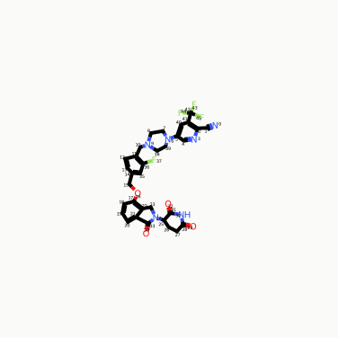 N#Cc1ncc(N2CCN(Cc3ccc(COc4cccc5c4CN(C4CCC(=O)NC4=O)C5=O)cc3F)CC2)cc1C(F)(F)F